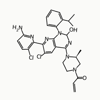 C=CC(=O)N1CCN(C2=NC(O)N(c3ccccc3C(C)C)c3nc(-c4nc(N)ccc4Cl)c(Cl)cc32)[C@@H](C)C1